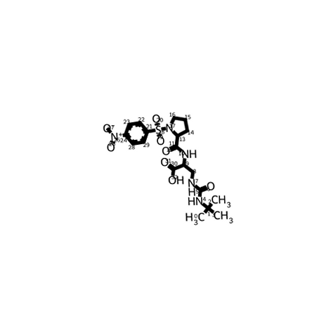 CC(C)(C)NC(=O)NCC(NC(=O)C1CCCN1S(=O)(=O)c1ccc([N+](=O)[O-])cc1)C(=O)O